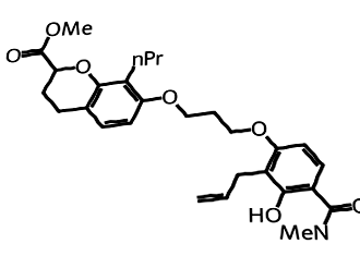 C=CCc1c(OCCCOc2ccc3c(c2CCC)OC(C(=O)OC)CC3)ccc(C(=O)NC)c1O